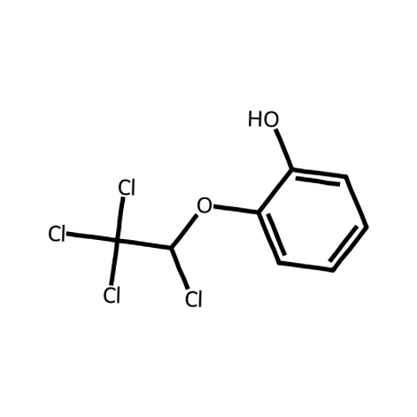 Oc1ccccc1OC(Cl)C(Cl)(Cl)Cl